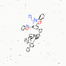 CC1(C)c2cc(-c3ccccc3)ccc2-c2ccc(-c3cccc(-c4cc(COc5ccccc5N)cc(-c5nc6ccccc6o5)c4)c3)cc21